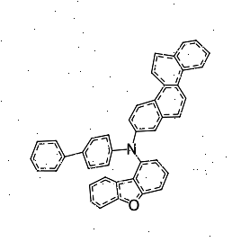 c1ccc(-c2ccc(N(c3ccc4c(ccc5c6ccccc6ccc45)c3)c3cccc4oc5ccccc5c34)cc2)cc1